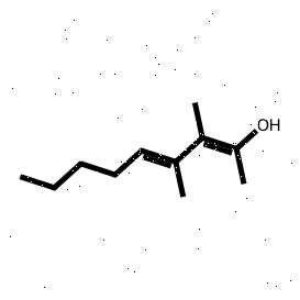 CCCC/C=C(C)/C(C)=C(\C)O